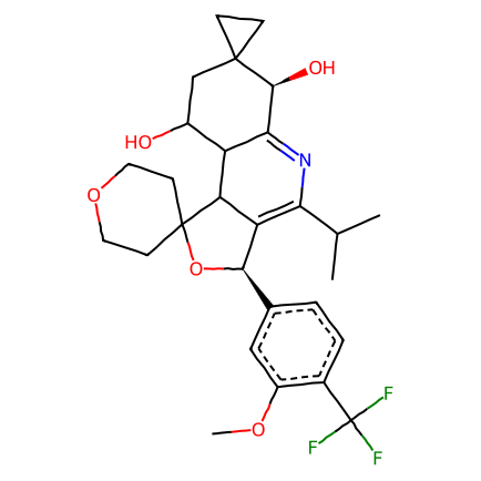 COc1cc([C@H]2OC3(CCOCC3)C3C2=C(C(C)C)N=C2C3C(O)CC3(CC3)[C@H]2O)ccc1C(F)(F)F